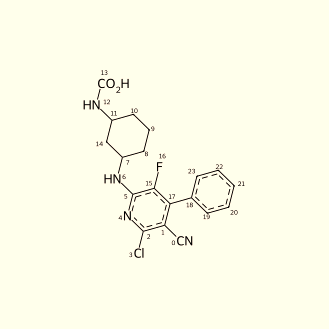 N#Cc1c(Cl)nc(NC2CCCC(NC(=O)O)C2)c(F)c1-c1ccccc1